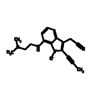 CC#Cc1c(CC#N)c2cccc(NCCN(C)C)c2[s+]1[O-]